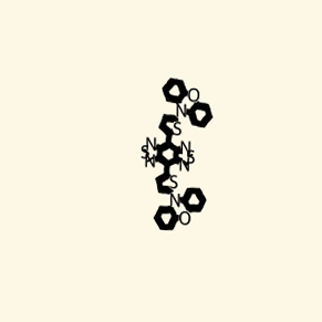 c1ccc2c(c1)Oc1ccccc1N2c1ccc(-c2c3c(c(-c4ccc(N5c6ccccc6Oc6ccccc65)s4)c4nsnc24)N=S=N3)s1